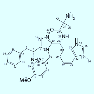 COc1ccc(Cn2c([C@@H](Cc3ccccc3)NC(C)=O)nnc2[C@H](NC(=O)C(C)(C)N)C2CC=Cc3c(C)c[nH]c32)cc1